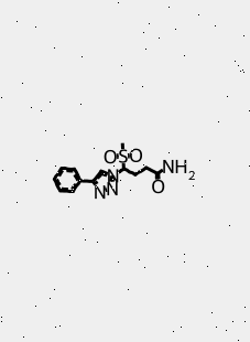 CS(=O)(=O)C(CCC(N)=O)n1cc(-c2ccccc2)nn1